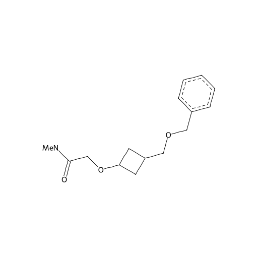 CNC(=O)COC1CC(COCc2ccccc2)C1